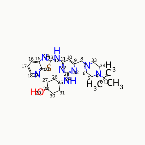 CC(C)(C)N1CCN(Cc2cc(Nc3nc4cccnc4s3)nc(N[C@H]3CC[C@H](O)CC3)n2)CC1